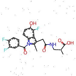 Cc1c(CC(=O)NCC(C)C(=O)O)c2c(F)c(O)ccc2n1C(=O)c1ccc(F)c(F)c1